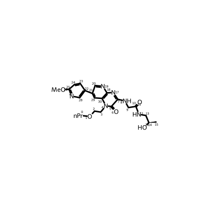 CCCOCCn1c(=O)c(NCC(=O)NC[C@@H](C)O)nc2ncc(-c3ccc(OC)nc3)cc21